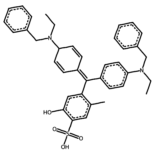 CCN(Cc1ccccc1)c1ccc(C(=C2C=CC(N(CC)Cc3ccccc3)C=C2)c2cc(O)c(S(=O)(=O)O)cc2C)cc1